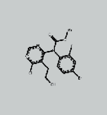 CC(C)(C)OC(=O)N(c1ccc(Br)cc1F)c1ncnc(Cl)c1CCO